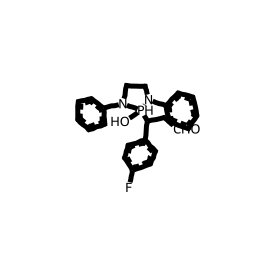 O=CCC(c1ccc(F)cc1)[PH]1(O)N(c2ccccc2)CCN1c1ccccc1